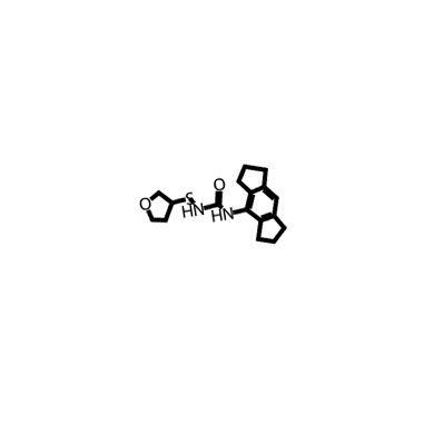 O=C(NSC1CCOC1)Nc1c2c(cc3c1CCC3)CCC2